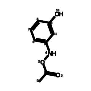 CC(=O)ONc1cccc(O)c1